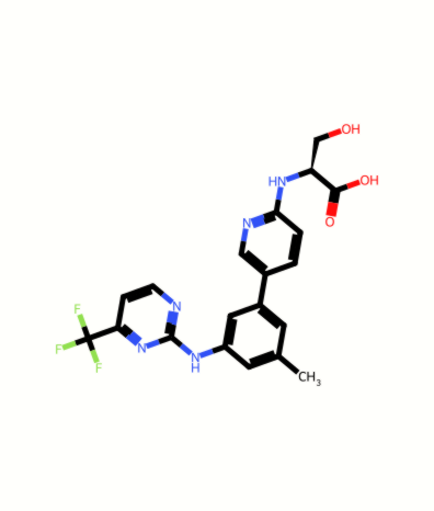 Cc1cc(Nc2nccc(C(F)(F)F)n2)cc(-c2ccc(N[C@@H](CO)C(=O)O)nc2)c1